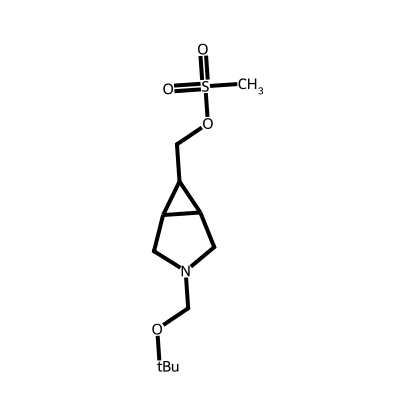 CC(C)(C)OCN1CC2C(COS(C)(=O)=O)C2C1